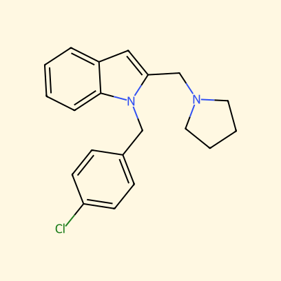 Clc1ccc(Cn2c(CN3CCCC3)cc3ccccc32)cc1